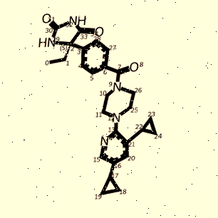 CC[C@@]1(c2ccc(C(=O)N3CCN(c4ncc(C5CC5)cc4C4CC4)CC3)cc2)NC(=O)NC1=O